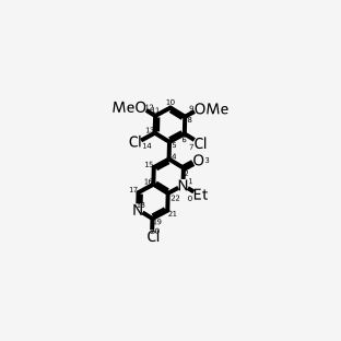 CCn1c(=O)c(-c2c(Cl)c(OC)cc(OC)c2Cl)cc2cnc(Cl)cc21